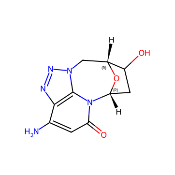 Nc1cc(=O)n2c3c1nnn3C[C@H]1O[C@@H]2CC1O